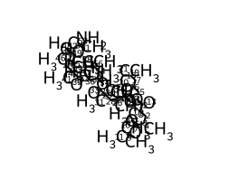 CC(CC(C)C(=O)OC(C)(C)C)C(=O)OCC(CC(C)(C)C)OC(=O)C(C)(C)CC(C)(C)C(=O)OC(COC(=O)C(C)(C)CC(C)(C)C(=O)OC(C)(C)N)CC(C)(C)C